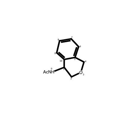 CC(=O)NC1COCc2ccccc21